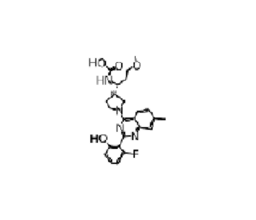 COCCC(NC(=O)O)[C@H]1CCN(c2nc(-c3c(O)cccc3F)nc3cc(C)ccc23)C1